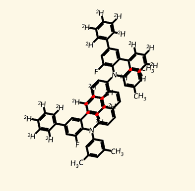 [2H]c1c([2H])c([2H])c(-c2cc(F)c(N(C3=CC=C4C=CC5=C(N(c6cc(C)cc(C)c6)c6c(F)cc(-c7c([2H])c([2H])c([2H])c([2H])c7[2H])cc6-c6c([2H])c([2H])c([2H])c([2H])c6[2H])C=CC6=CC=C3C4C65)c3cc(C)cc(C)c3)c(-c3c([2H])c([2H])c([2H])c([2H])c3[2H])c2)c([2H])c1[2H]